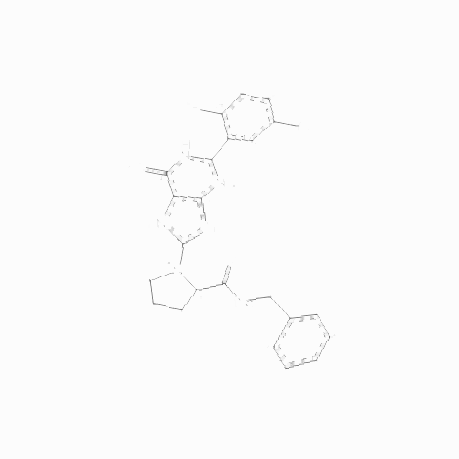 O=C(NCc1ccccc1)C1CCCN1c1nc2c(=O)[nH]c(-c3cc(F)ccc3F)nc2s1